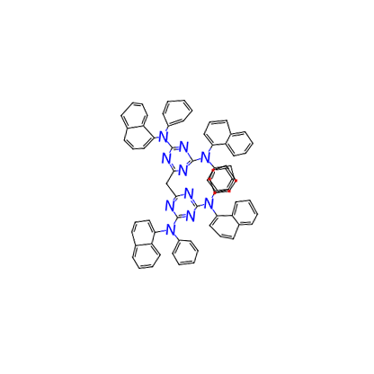 c1ccc(N(c2nc(Cc3nc(N(c4ccccc4)c4cccc5ccccc45)nc(N(c4ccccc4)c4cccc5ccccc45)n3)nc(N(c3ccccc3)c3cccc4ccccc34)n2)c2cccc3ccccc23)cc1